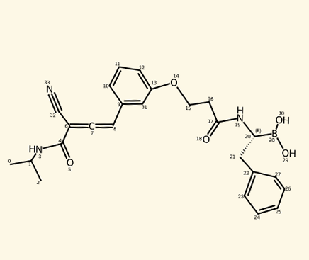 CC(C)NC(=O)C(=C=Cc1cccc(OCCC(=O)N[C@@H](Cc2ccccc2)B(O)O)c1)C#N